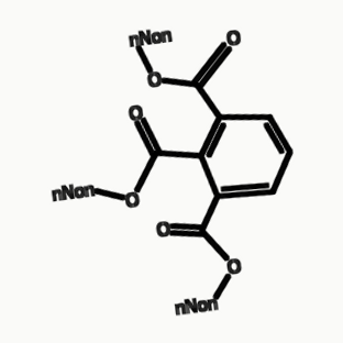 CCCCCCCCCOC(=O)c1cccc(C(=O)OCCCCCCCCC)c1C(=O)OCCCCCCCCC